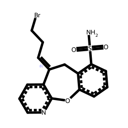 NS(=O)(=O)c1cccc2c1C/C(=C\CCBr)c1cccnc1O2